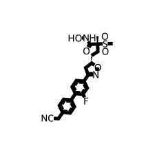 C[C@@](CC[C@H]1CC(c2ccc(-c3ccc(CC#N)cc3)c(F)c2)=NO1)(C(=O)NO)S(C)(=O)=O